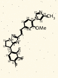 COc1nc(/C=C/c2nc3n(n2)CCC3c2ccc(F)c(F)c2F)ccc1-n1cnc(C)c1